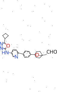 O=CCC12CCC(c3ccc(-c4ccc(Nc5nnc(C6CCC6)o5)cn4)cc3)(CC1)OC2